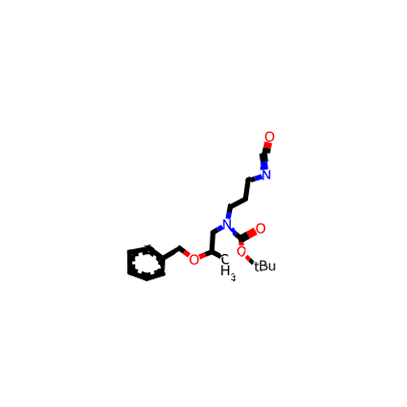 CC(CN(CCCN=C=O)C(=O)OC(C)(C)C)OCc1ccccc1